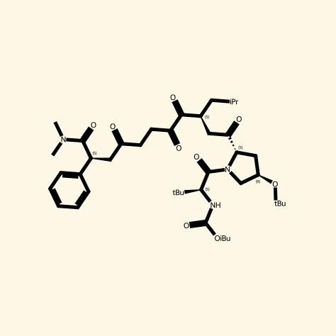 CC(C)COC(=O)N[C@H](C(=O)N1C[C@H](OC(C)(C)C)C[C@H]1C(=O)C[C@H](CC(C)C)C(=O)C(=O)CCC(=O)C[C@H](C(=O)N(C)C)c1ccccc1)C(C)(C)C